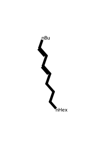 [CH2]CCCCCCCCC=CC=CCCCC